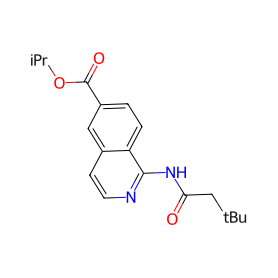 CC(C)OC(=O)c1ccc2c(NC(=O)CC(C)(C)C)nccc2c1